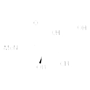 CNC(=O)[C@H](O)C(C)(C)CO